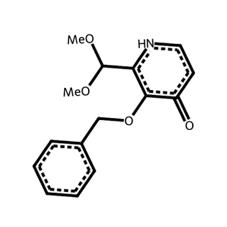 COC(OC)c1[nH]ccc(=O)c1OCc1ccccc1